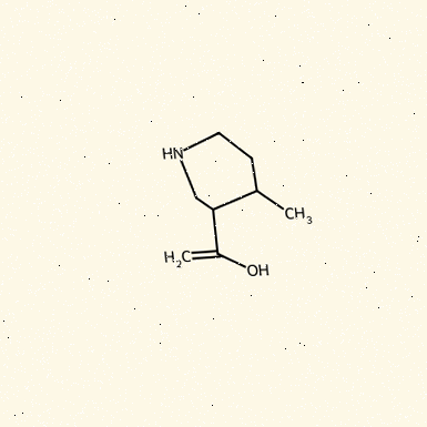 C=C(O)C1CNCCC1C